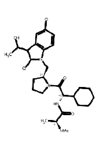 CN[C@@H](C)C(=O)N[C@H](C(=O)N1CCC[C@H]1CN1c2ccc(Cl)cc2C(C(C)O)C1Cl)C1CCCCC1